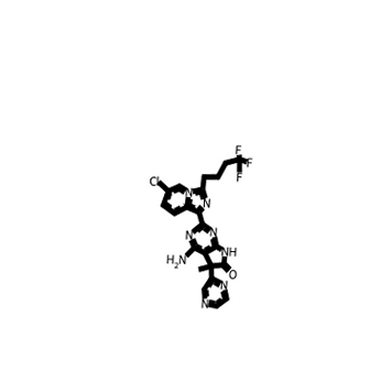 CC1(c2cnccn2)C(=O)Nc2nc(-c3nc(CCCC(F)(F)F)n4cc(Cl)ccc34)nc(N)c21